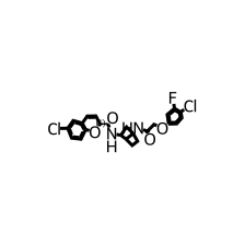 O=C(COc1ccc(Cl)c(F)c1)NC12CCC1C(NC(=O)[C@@H]1C=Cc3cc(Cl)ccc3O1)C2